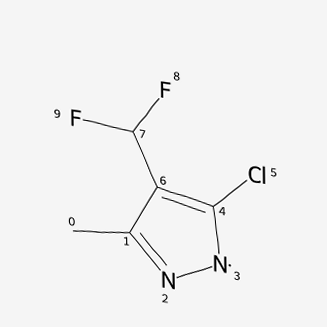 CC1=N[N]C(Cl)=C1C(F)F